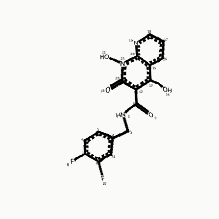 O=C(NCc1ccc(F)c(F)c1)c1c(O)c2cccnc2n(O)c1=O